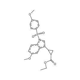 CCOC(=O)C1CC1c1cn(S(=O)(=O)c2ccc(OC)cc2)c2ccc(OC)cc12